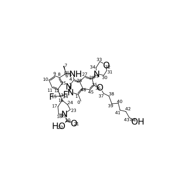 Cc1nnc(N[C@H](C)c2cccc(C(F)(F)C3CCN(C(=O)O)CC3)c2)c2cc(N3CCOCC3)c(OCCCCCCCO)cc12